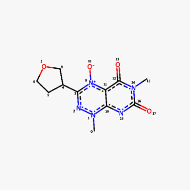 Cn1nc(C2CCOC2)[n+]([O-])c2c(=O)n(C)c(=O)nc1-2